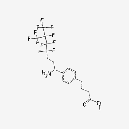 COC(=O)CCCc1ccc(C(N)CCC(F)(F)C(F)(F)C(F)(C(F)(F)F)C(F)(F)F)cc1